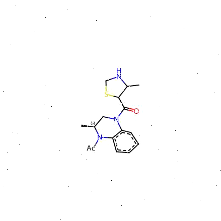 CC(=O)N1c2ccccc2N(C(=O)C2SCNC2C)C[C@@H]1C